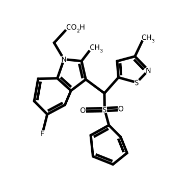 Cc1cc(C(c2c(C)n(CC(=O)O)c3ccc(F)cc23)S(=O)(=O)c2ccccc2)sn1